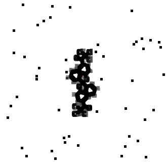 O=C(c1ccc(OC(Oc2ccc(C(=O)C(Cl)(Cl)Cl)cc2)(c2ccccc2)c2ccccc2)cc1)C(Cl)(Cl)Cl